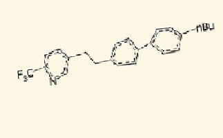 CCCCc1ccc(-c2ccc(CCc3ccc(C(F)(F)F)nc3)cc2)cc1